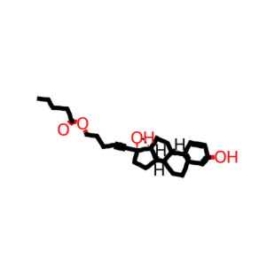 CCCCC(=O)OCCCC#C[C@]1(O)CC[C@H]2[C@@H]3CCc4cc(O)ccc4[C@H]3CC[C@@]21C